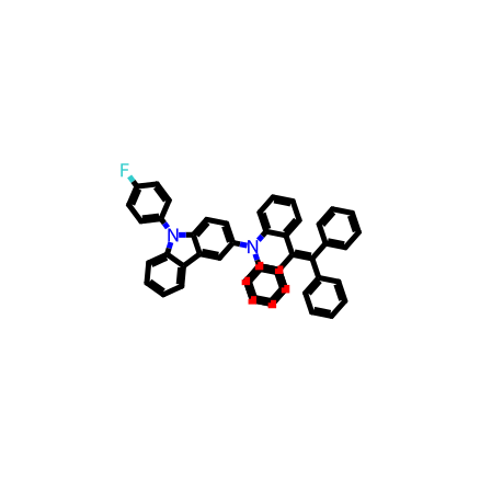 Fc1ccc(-n2c3ccccc3c3cc(N(c4ccccc4)c4ccccc4C(=C(c4ccccc4)c4ccccc4)c4ccccc4)ccc32)cc1